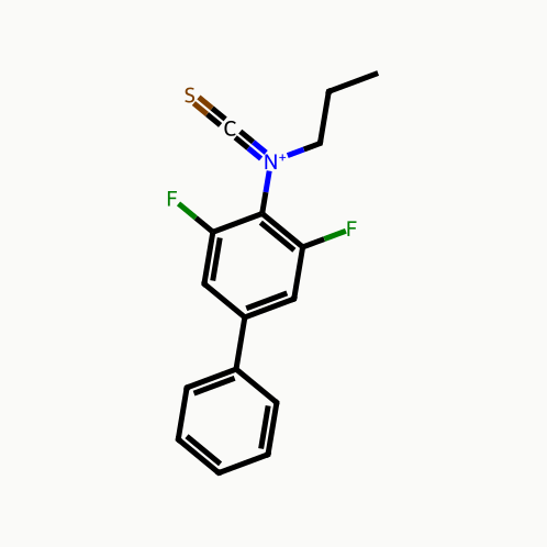 CCC[N+](=C=S)c1c(F)cc(-c2ccccc2)cc1F